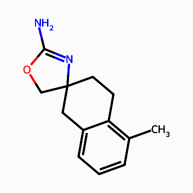 Cc1cccc2c1CCC1(COC(N)=N1)C2